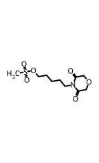 CS(=O)(=O)OCCCCCN1C(=O)COCC1=O